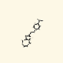 CC(C)c1ccc(/C=C/c2nc3c(s2)NCCCC3)cc1